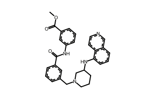 COC(=O)c1cccc(NC(=O)c2cccc(CN3CCCC(Nc4cccc5cnccc45)C3)c2)c1